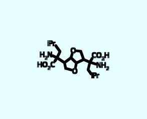 CC(C)CC(N)(C(=O)O)C1COC2C1OCC2C(N)(CC(C)C)C(=O)O